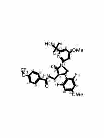 COc1cc(N2C[C@@H](c3c(F)cc(OC)cc3F)C(CNC(=O)c3ccc(OC(F)(F)F)cc3)C2=O)nc(C(C)(C)O)c1